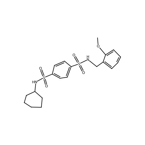 COc1ccccc1CNS(=O)(=O)c1ccc(S(=O)(=O)NC2CCCCC2)cc1